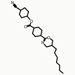 CCCCCCCC1CN=C(C2CCC(C(=O)OC3CCC(C#N)CC3)CC2)OC1